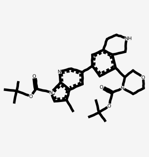 Cc1cn(C(=O)OC(C)(C)C)c2ncc(-c3cc4c(c(C5COCCN5C(=O)OC(C)(C)C)c3)CNCC4)cc12